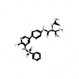 CC(C)[C@H](OC(N)=O)C(=O)Nc1ccc(-c2cnc(Cl)c(NS(=O)(=O)c3ccccc3)c2)cc1